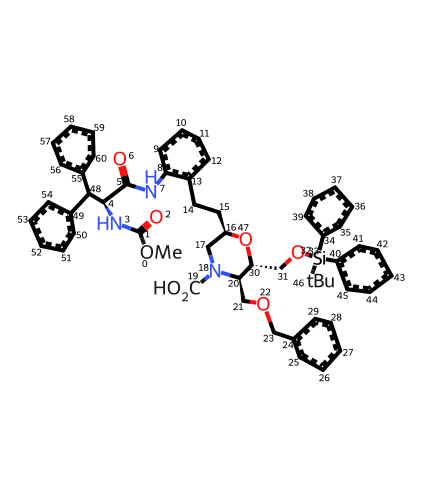 COC(=O)N[C@H](C(=O)Nc1ccccc1CC[C@@H]1CN(C(=O)O)[C@H](COCc2ccccc2)[C@@H](CO[Si](c2ccccc2)(c2ccccc2)C(C)(C)C)O1)C(c1ccccc1)c1ccccc1